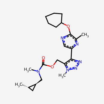 Cc1nc(-c2nnn(C)c2COC(=O)N(C)C[C@H]2C[C@@H]2C)cnc1OC1CCCCC1